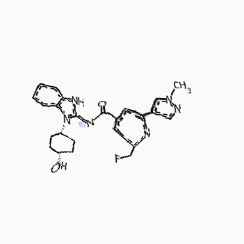 Cn1cc(-c2cc(C(=O)/N=c3\[nH]c4ccccc4n3[C@H]3CC[C@@H](O)CC3)cc(CF)n2)cn1